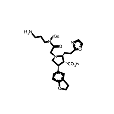 CCCCN(CCCN)C(=O)CN1C[C@H](c2ccc3c(c2)CCO3)[C@@H](C(=O)O)[C@@H]1CCc1ncco1